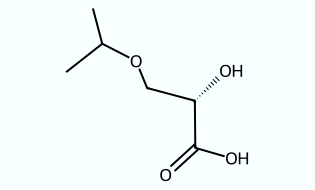 CC(C)OC[C@H](O)C(=O)O